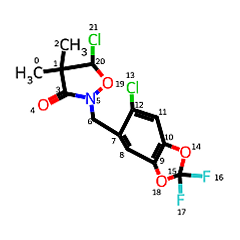 CC1(C)C(=O)N(Cc2cc3c(cc2Cl)OC(F)(F)O3)OC1Cl